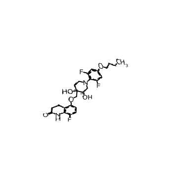 CCCCOc1cc(F)c(N2CC[C@@](O)(COc3ccc(F)c4c3CCC(=O)N4)[C@H](O)C2)c(F)c1